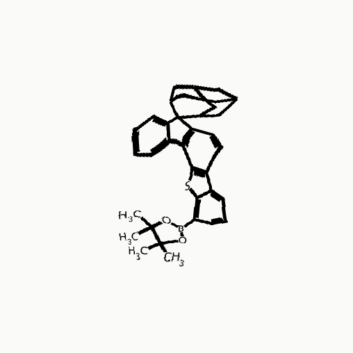 CC1(C)OB(c2cccc3c2sc2c4c(ccc23)C2(c3ccccc3-4)C3CC4CC(C3)CC2C4)OC1(C)C